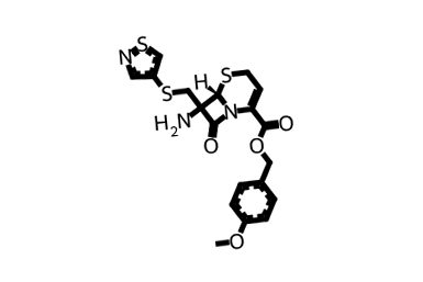 COc1ccc(COC(=O)C2=CCS[C@@H]3N2C(=O)C3(N)CSc2cnsc2)cc1